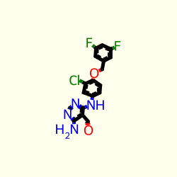 Nc1ncnc(Nc2ccc(OCc3cc(F)cc(F)c3)c(Cl)c2)c1C=O